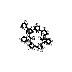 O=c1n(-c2cccc(-c3ccccn3)n2)c2ccccc2n1-c1cccc(-c2cccc(-n3c(=O)n(-c4cccc(-c5ccccn5)n4)c4ccccc43)n2)n1